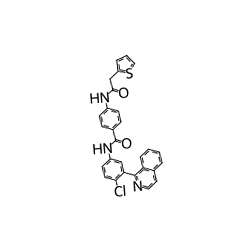 O=C(Cc1cccs1)Nc1ccc(C(=O)Nc2ccc(Cl)c(-c3nccc4ccccc34)c2)cc1